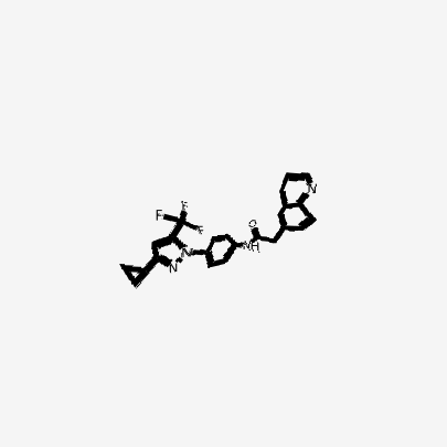 O=C(Cc1ccc2ncccc2c1)Nc1ccc(-n2nc(C3CC3)cc2C(F)(F)F)cc1